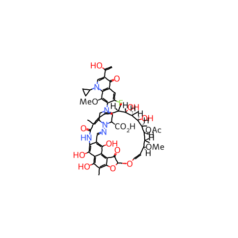 C=C(O)c1cn(C2CC2)c2c(OC)c(N3CCN(/N=C/c4c5c(O)c6c(O)c(C)c7c(c6c4O)C(=O)[C@@](C)(O/C=C/[C@H](OC)[C@@H](C)[C@@H](OC(C)=O)[C@H](C)[C@H](O)[C@H](C)[C@@H](O)[C@@H](C)/C=C/C=C(/C)C(=O)N5)O7)C(C(=O)O)C3)c(F)cc2c1=O